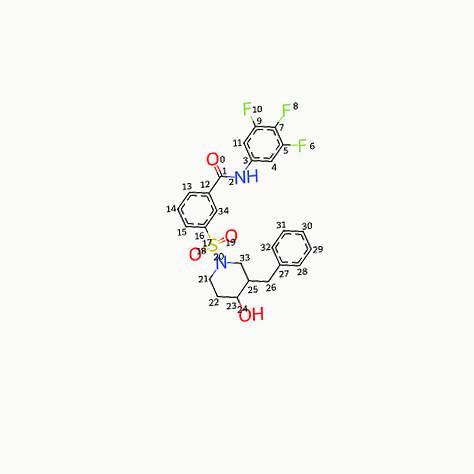 O=C(Nc1cc(F)c(F)c(F)c1)c1cccc(S(=O)(=O)N2CCC(O)C(Cc3ccccc3)C2)c1